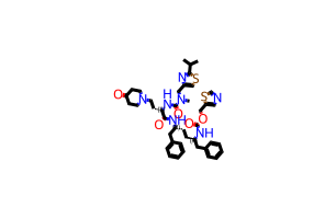 CC(C)c1nc(CN(C)C(=O)N[C@@H](CCN2CCC(=O)CC2)C(=O)N[C@H](CC[C@H](Cc2ccccc2)NC(=O)OCc2cncs2)Cc2ccccc2)cs1